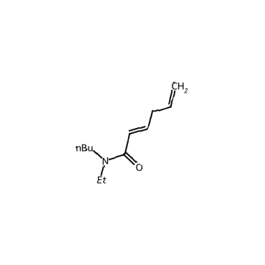 C=CC/C=C/C(=O)N(CC)CCCC